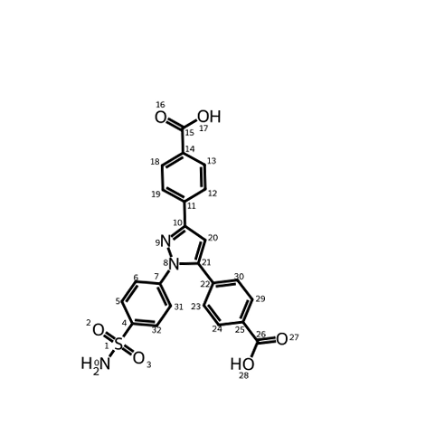 NS(=O)(=O)c1ccc(-n2nc(-c3ccc(C(=O)O)cc3)cc2-c2ccc(C(=O)O)cc2)cc1